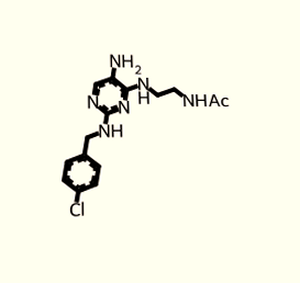 CC(=O)NCCNc1nc(NCc2ccc(Cl)cc2)ncc1N